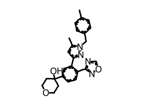 Cc1ccc(Cn2nc(-c3cc(C4(O)CCOCC4)ccc3-c3ncon3)cc2C)cc1